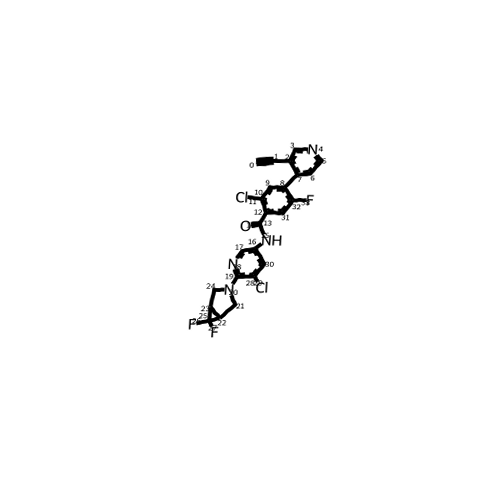 C#Cc1cnccc1-c1cc(Cl)c(C(=O)Nc2cnc(N3CC4C(C3)C4(F)F)c(Cl)c2)cc1F